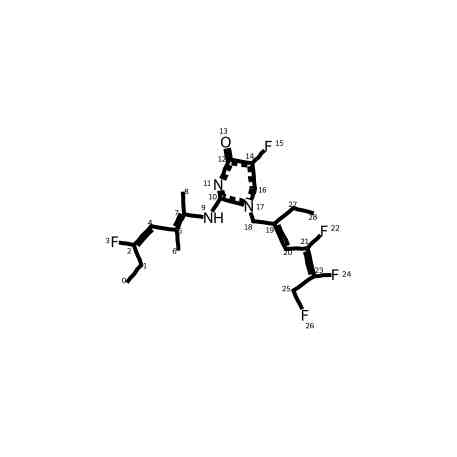 CC/C(F)=C\C(C)=C(/C)Nc1nc(=O)c(F)cn1C/C(=C/C(F)=C(/F)CF)CC